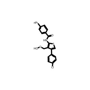 CCCc1ccc(C(=O)Nc2scc(-c3ccc(Cl)cc3)c2COO)cc1